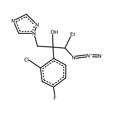 CCC(N=[N+]=[N-])C(O)(Cn1cncn1)c1ccc(F)cc1Cl